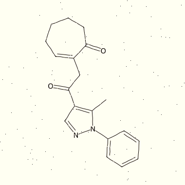 Cc1c(C(=O)CC2=CCCCCC2=O)cnn1-c1ccccc1